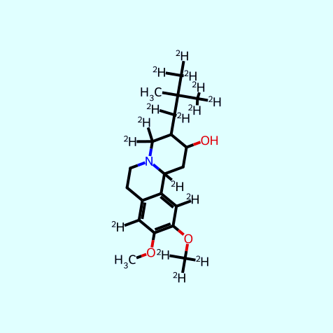 [2H]c1c2c(c([2H])c(OC([2H])([2H])[2H])c1OC)C1([2H])CC(O)C(C([2H])([2H])C(C)(C([2H])([2H])[2H])C([2H])([2H])[2H])C([2H])([2H])N1CC2